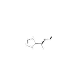 CC(=CC=O)C1CCCC1